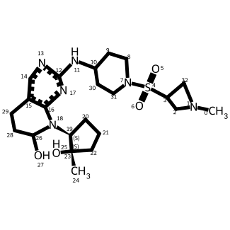 CN1CC(S(=O)(=O)N2CCC(Nc3ncc4c(n3)N([C@H]3CCC[C@]3(C)O)C(O)CC4)CC2)C1